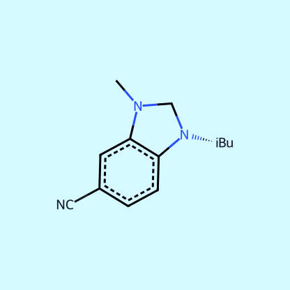 CC[C@@H](C)N1CN(C)c2cc(C#N)ccc21